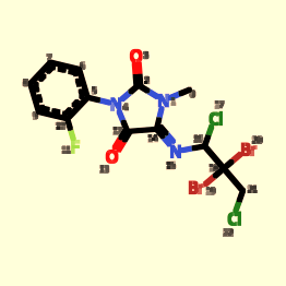 CN1C(=O)N(c2ccccc2F)C(=O)/C1=N/C(Cl)C(Br)(Br)CCl